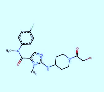 CN(C(=O)c1cnc(NC2CCN(C(=O)CBr)CC2)n1C)c1ccc(F)cc1